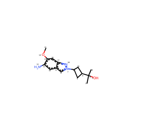 [CH2]C(C)(O)C1CC(n2cc3cc(N)c(OC)cc3n2)C1